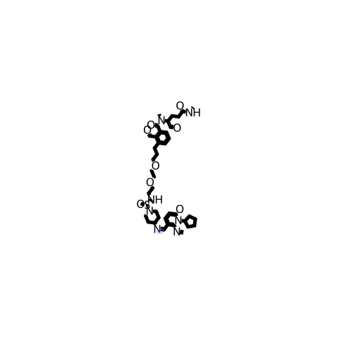 C=Nc1c(/C=N\C2CCN([S+]([O-])NCCOCCOCCCc3cccc(C(=O)N(C)C(C=O)CCC(=O)NC)c3C=O)CC2)ccc(=O)n1C1CCCC1